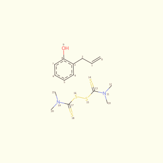 C=CCc1ccccc1O.CN(C)C(=S)SSC(=S)N(C)C